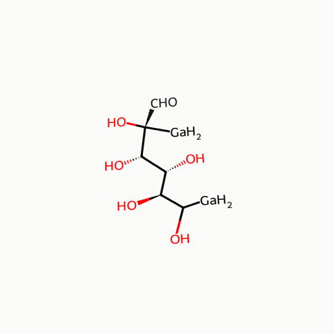 O=C[C@@](O)([GaH2])[C@@H](O)[C@H](O)[C@H](O)[CH](O)[GaH2]